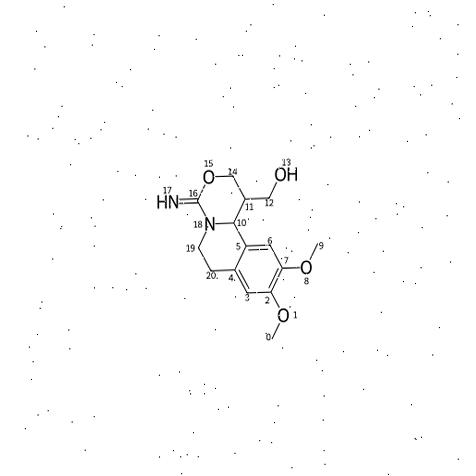 COc1cc2c(cc1OC)C1C(CO)COC(=N)N1CC2